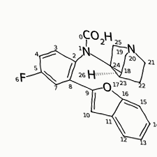 O=C(O)N(c1ccc(F)cc1-c1cc2ccccc2o1)[C@H]1CN2CCC1CC2